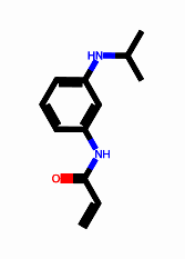 C=CC(=O)Nc1cccc(NC(C)C)c1